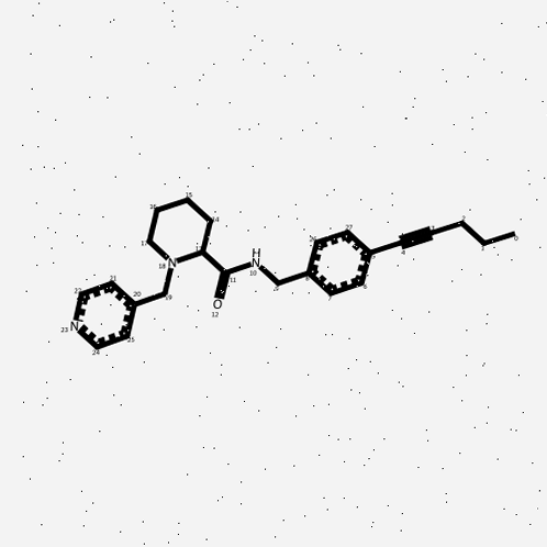 CCCC#Cc1ccc(CNC(=O)C2C[CH]CCN2Cc2ccncc2)cc1